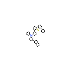 C1=CC(N(c2ccccc2)c2cccc(-c3ccc4ccccc4c3)c2)=CC(c2cccc3c2sc2c(-c4ccccc4)cccc23)C1